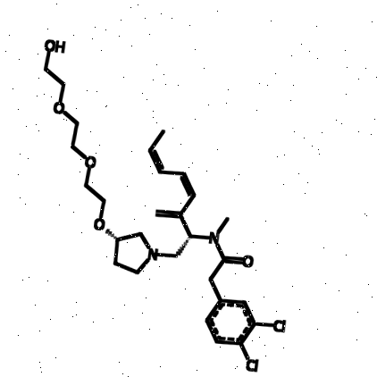 C=C(/C=C\C=C/C)[C@@H](CN1CC[C@H](OCCOCCOCCO)C1)N(C)C(=O)Cc1ccc(Cl)c(Cl)c1